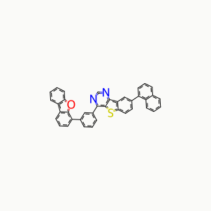 c1cc(-c2cccc3c2oc2ccccc23)cc(-c2ncnc3c2sc2ccc(-c4cccc5ccccc45)cc23)c1